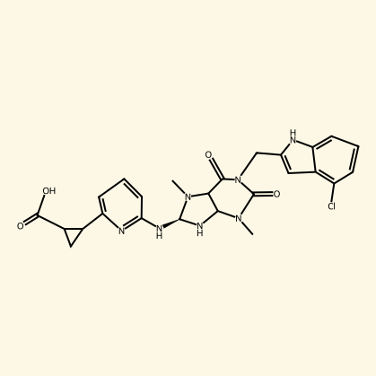 CN1C(=O)N(Cc2cc3c(Cl)cccc3[nH]2)C(=O)C2C1N[C@@H](Nc1cccc(C3CC3C(=O)O)n1)N2C